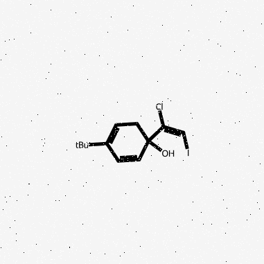 CC(C)(C)C1=CCC(O)(/C(Cl)=C\I)C=C1